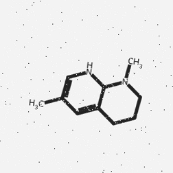 CC1=CNC2C(=C1)CCCN2C